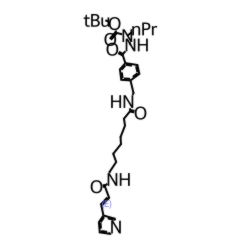 CCCN(NC(=O)c1ccc(CNC(=O)CCCCCCCNC(=O)/C=C/c2cccnc2)cc1)C(=O)OC(C)(C)C